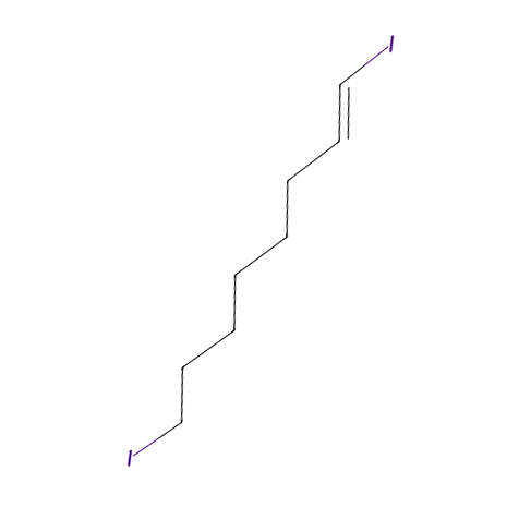 IC=CCCCCCCI